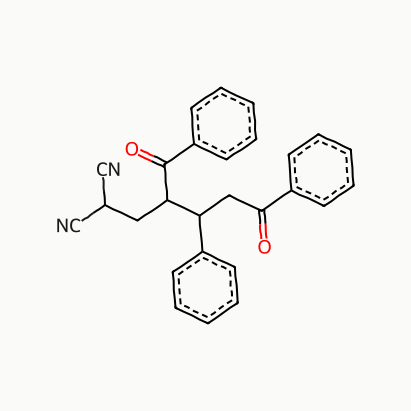 N#CC(C#N)CC(C(=O)c1ccccc1)C(CC(=O)c1ccccc1)c1ccccc1